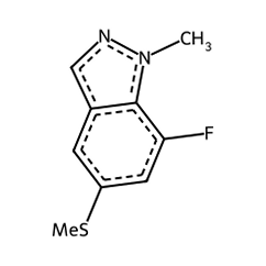 CSc1cc(F)c2c(cnn2C)c1